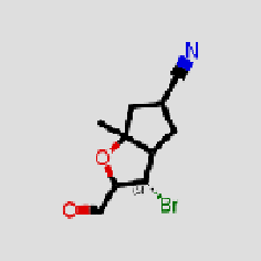 CC12CC(C#N)CC1[C@H](Br)C(C=O)O2